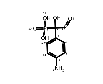 Nc1ccc(C(O)(P=O)P(=O)(O)O)cc1